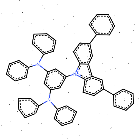 c1ccc(-c2ccc3c(c2)c2cc(-c4ccccc4)ccc2n3-c2cc(N(c3ccccc3)c3ccccc3)cc(N(c3ccccc3)c3ccccc3)c2)cc1